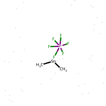 F[P-](F)(F)(F)(F)F.[CH3][Sn][CH3]